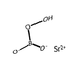 [O-]B([O-])OO.[Sr+2]